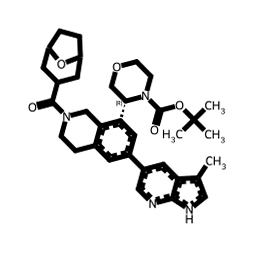 Cc1c[nH]c2ncc(-c3cc4c(c([C@@H]5COCCN5C(=O)OC(C)(C)C)c3)CN(C(=O)C3CC5CCC(C3)O5)CC4)cc12